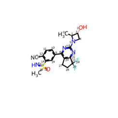 C[C@H]1[C@H](O)CN1c1nc(-c2ccc(C#N)c(S(C)(=N)=O)c2)c2c(n1)C(F)(F)CC2